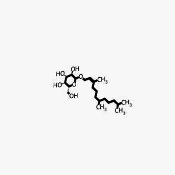 CC(=CCOC1O[C@H](CO)[C@H](O)[C@H](O)[C@H]1O)CCCC(C)CCCC(C)C